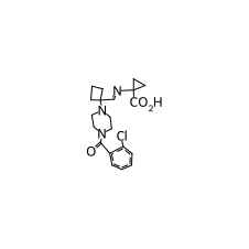 O=C(c1ccccc1Cl)N1CCN(C2(C=NC3(C(=O)O)CC3)CCC2)CC1